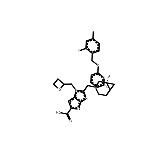 Cc1ccc(COc2cccc([C@]34CCN(Cc5nc6oc(C(=O)O)cc6n5CC5CCO5)C[C@H]3C4)n2)c(F)c1